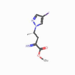 C[C@@H](CC(=N)C(=O)OC(C)(C)C)n1cc(I)cn1